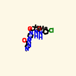 CSC(C)(C)[C@@H](NC(=O)Nc1ccc(Cl)cc1)C(=O)N1CCN(N2CN3CN(C)C=C3C2=O)CC1